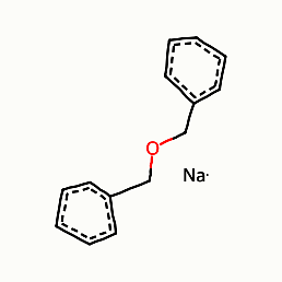 [Na].c1ccc(COCc2ccccc2)cc1